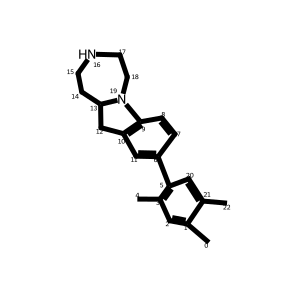 Cc1cc(C)c(-c2ccc3c(c2)CC2CCNCCN32)cc1C